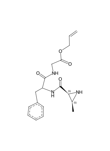 C=CCOC(=O)CNC(=O)C(Cc1ccccc1)NC(=O)[C@H]1N[C@H]1C